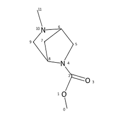 COC(=O)N1CC2CC1CN2C